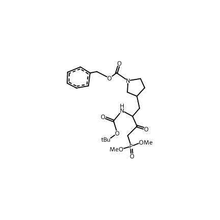 COP(=O)(CC(=O)C(CC1CCN(C(=O)OCc2ccccc2)C1)NC(=O)OC(C)(C)C)OC